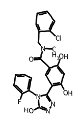 CN(Cc1ccccc1Cl)C(=O)c1cc(-c2nnc(O)n2-c2ccccc2F)c(O)cc1O